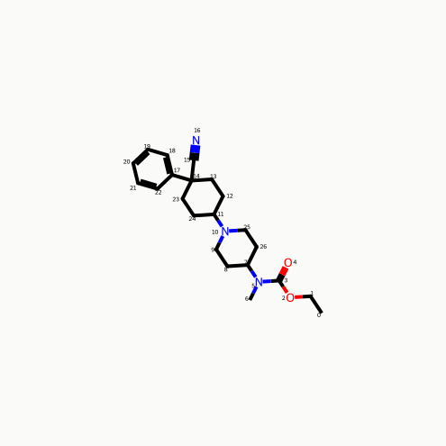 CCOC(=O)N(C)C1CCN(C2CCC(C#N)(c3ccccc3)CC2)CC1